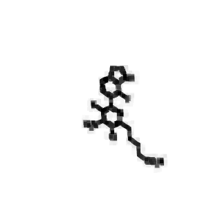 Nc1c(F)c(-c2ccc3cc[nH]c3c2F)nc(CCCCC(=O)O)c1Cl